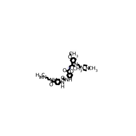 CNCCNC(=O)c1ccc(NC(=O)Nc2ccc3c(c2)C(=O)/C(=C/c2c(C)n(CCN4CCN(C)CC4)c4ccc(OC)cc24)O3)cc1